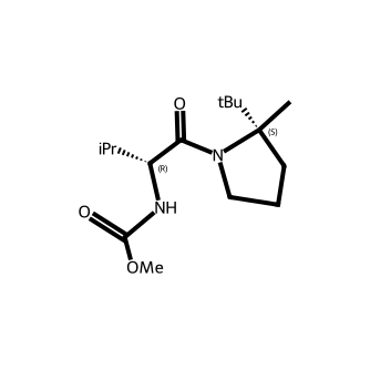 COC(=O)N[C@@H](C(=O)N1CCC[C@@]1(C)C(C)(C)C)C(C)C